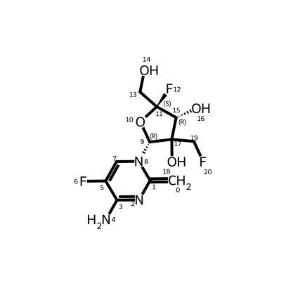 C=C1N=C(N)C(F)=CN1[C@@H]1O[C@](F)(CO)[C@H](O)C1(O)CF